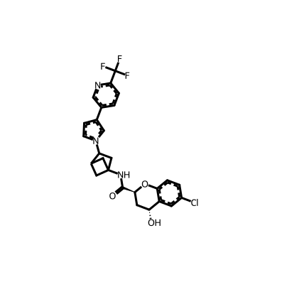 O=C(NC12CC(C1)C(n1ccc(-c3ccc(C(F)(F)F)nc3)c1)C2)[C@@H]1C[C@@H](O)c2cc(Cl)ccc2O1